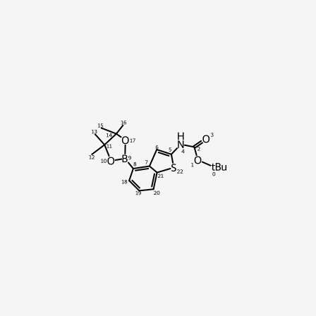 CC(C)(C)OC(=O)Nc1cc2c(B3OC(C)(C)C(C)(C)O3)cccc2s1